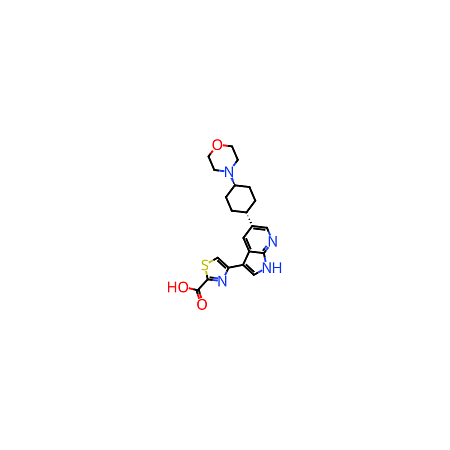 O=C(O)c1nc(-c2c[nH]c3ncc([C@H]4CC[C@H](N5CCOCC5)CC4)cc23)cs1